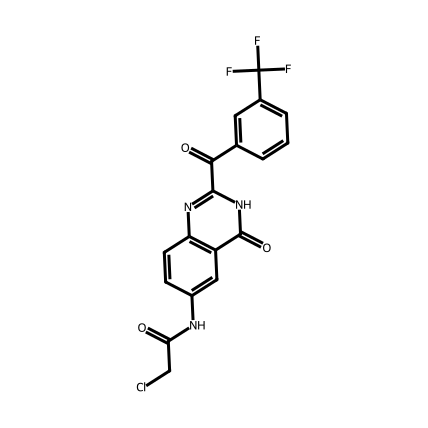 O=C(CCl)Nc1ccc2nc(C(=O)c3cccc(C(F)(F)F)c3)[nH]c(=O)c2c1